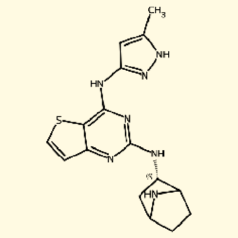 Cc1cc(Nc2nc(N[C@H]3CC4CCC3N4)nc3ccsc23)n[nH]1